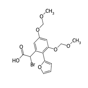 COCOc1cc(OCOC)c(-c2ccco2)c(C(Br)C(=O)O)c1